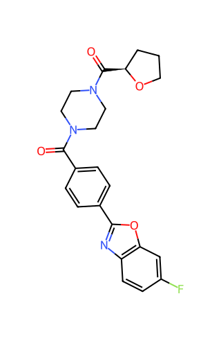 O=C(c1ccc(-c2nc3ccc(F)cc3o2)cc1)N1CCN(C(=O)[C@H]2CCCO2)CC1